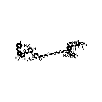 Cc1n[nH]c(Nc2ncnc3cc(OCCOCCOCCOCCOCC(=O)N4CCN(C[C@H]5CN[C@H](C)CN5CC(=O)N5CC(C)(C)c6ncc(Cc7ccc(F)cc7)cc65)C(C)C4)c(S(=O)(=O)C(C)(C)C)cc23)c1C